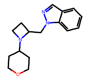 c1ccc2c(c1)cnn2CC1CCN1C1CCOCC1